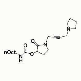 CCCCCCCCNC(=O)OC1CCN(CC#CCN2CCCC2)C1=O